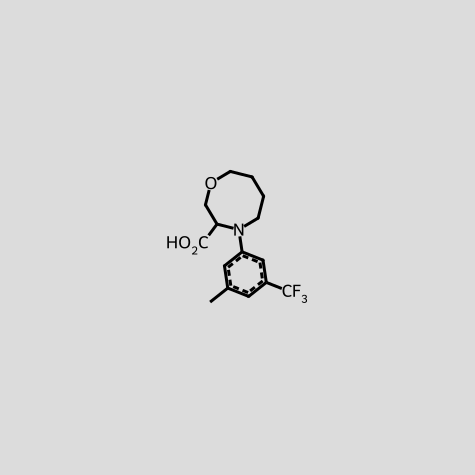 Cc1cc(N2CCCCOCC2C(=O)O)cc(C(F)(F)F)c1